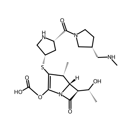 CNC[C@H]1CCN(C(=O)[C@@H]2C[C@H](SC3=C(OC(=O)O)N4C(=O)[C@H]([C@@H](C)O)[C@H]4[C@H]3C)CN2)C1